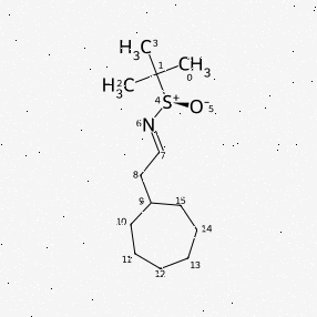 CC(C)(C)[S@@+]([O-])/N=C/CC1CCCCCC1